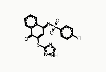 O=C1C(Sc2nc[nH]n2)=CC(=NS(=O)(=O)c2ccc(Cl)cc2)c2ccccc21